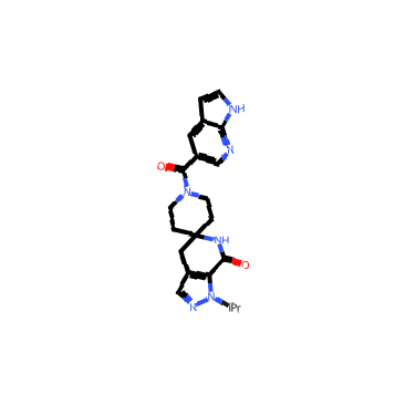 CC(C)n1ncc2c1C(=O)NC1(CCN(C(=O)c3cnc4[nH]ccc4c3)CC1)C2